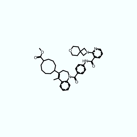 COC(=O)C1CCCCC(C2=C(C)c3ccccc3N(C(=O)c3ccc(NC(=O)c4cccnc4N4CC5(CCOCC5)C4)cc3)CC2)CCC1